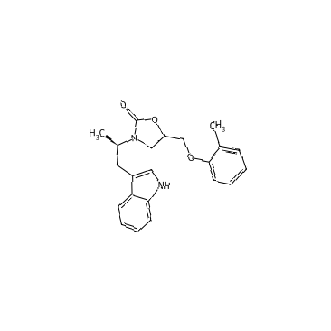 Cc1ccccc1OCC1CN([C@H](C)Cc2c[nH]c3ccccc23)C(=O)O1